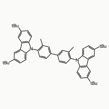 Cc1cc(-c2ccc(-n3c4ccc(C(C)(C)C)cc4c4cc(C(C)(C)C)ccc43)c(C)c2)ccc1-n1c2ccc(C(C)(C)C)cc2c2cc(C(C)(C)C)ccc21